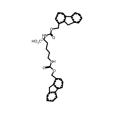 O=C(NCCCC[C@@H](NC(=O)OCc1cccc2c1Cc1ccccc1-2)C(=O)O)OCc1cccc2c1Cc1ccccc1-2